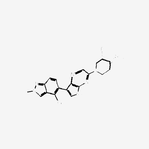 Cn1cc2c(Cl)c(-c3c[nH]c4nc(N5CC[C@@H](N)[C@@H](F)C5)cnc34)ccc2n1